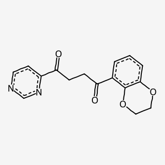 O=C(CCC(=O)c1cccc2c1OCCO2)c1ccncn1